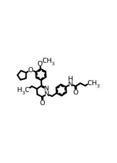 CCCC(=O)Nc1ccc(CN2N=C(c3ccc(OC)c(OC4CCCC4)c3)C(CC)CC2=O)cc1